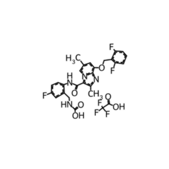 Cc1cc(OCc2c(F)cccc2F)c2nc(C)c(C(=O)Nc3ccc(F)cc3CNC(=O)O)n2c1.O=C(O)C(F)(F)F